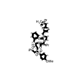 COc1ccc(S(=O)(=O)N(CC(C)C)C[C@H](O)[C@H](Cc2ccccc2)NC(=O)[C@H](C(C)C)N2CCN(Cc3csc(CS(C)(=O)=O)n3)C2=O)cc1